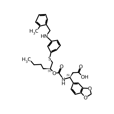 CCCC[C@@H](CSc1cccc(NCc2ccccc2C)c1)OC(=O)N[C@@H](CC(=O)O)c1ccc2c(c1)OCO2